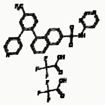 O=C(O)C(F)(F)F.O=C(O)C(F)(F)F.O=S(=O)(Nc1ccncn1)c1ccc2c(-c3ccc(C(F)(F)F)cc3-c3ccncc3)cccc2c1